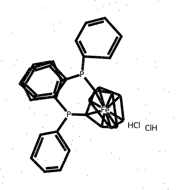 Cl.Cl.c1ccc(P(c2ccccc2)[C]23[CH]4[CH]5[CH]6[C]2(P(c2ccccc2)c2ccccc2)[Fe]54632789[CH]3[CH]2[CH]7[CH]8[CH]39)cc1